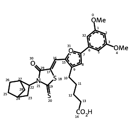 COc1cc(OC)cc(-c2cc(CCCCC(=O)O)c(/C=C3\SC(=S)N(C4CC5CCC4C5)C3=O)o2)c1